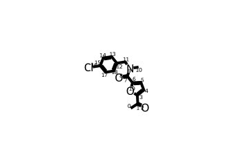 CC(=O)c1ccc(C(=O)N(C)Cc2ccc(Cl)cc2)o1